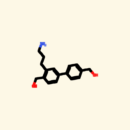 NCCCc1cc(-c2ccc(CO)cc2)ccc1CO